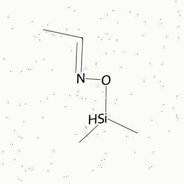 CC=NO[SiH](C)C